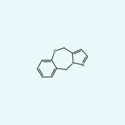 c1ccc2c(c1)Cn1nccc1CO2